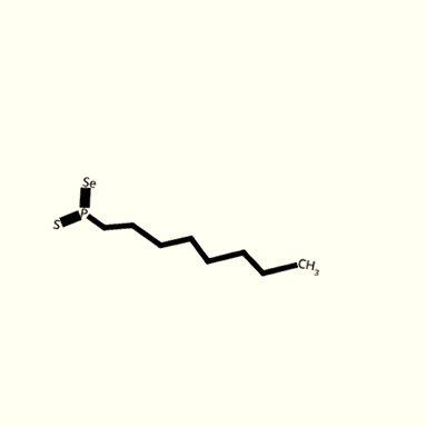 CCCCCCCCP(=S)=[Se]